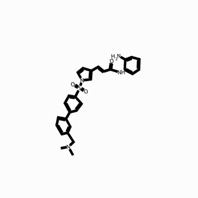 CN(C)Cc1cccc(-c2ccc(S(=O)(=O)n3ccc(C=CC(=O)Nc4ccccc4N)c3)cc2)c1